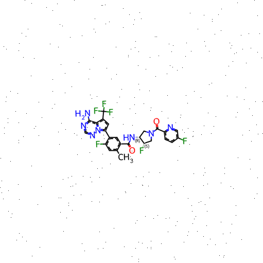 Cc1cc(F)c(-c2cc(C(F)(F)F)c3c(N)ncnn23)cc1C(=O)N[C@@H]1CN(C(=O)c2ccc(F)cn2)C[C@@H]1F